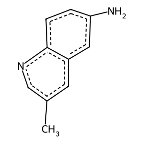 Cc1cnc2ccc(N)cc2c1